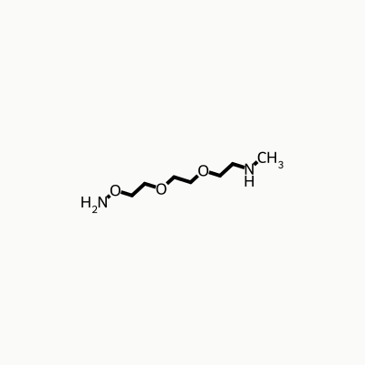 CNCCOCCOCCON